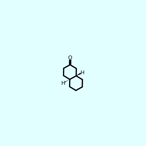 O=C1CC[C@@H]2CCCC[C@H]2C1